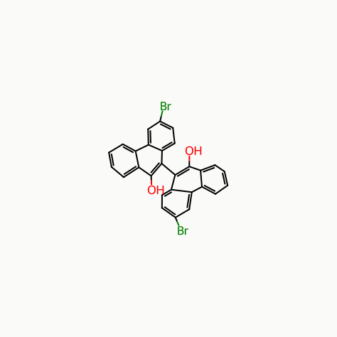 Oc1c(-c2c(O)c3ccccc3c3cc(Br)ccc23)c2ccc(Br)cc2c2ccccc12